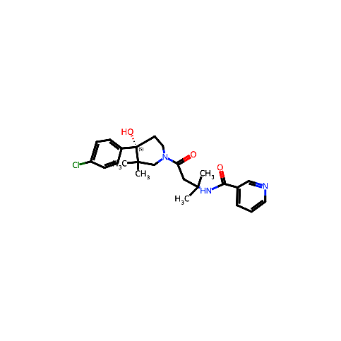 CC(C)(CC(=O)N1CC[C@](O)(c2ccc(Cl)cc2)C(C)(C)C1)NC(=O)c1cccnc1